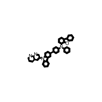 C1=CC2C=C(n3c4ccccc4c4cc(-c5ccc(N(c6ccccc6)c6cccc7c6oc6ccccc67)cc5)ccc43)C=NC2N=C1